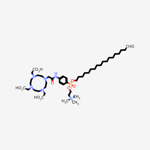 C[N+](C)(C)CCO[PH]([O-])(OCCCCCCCCCCCCCCCCCC=O)c1ccc(NC(=O)CN2CCN(CC(=O)O)CCN(CC(=O)O)CCN(CC(=O)O)CC2)cc1